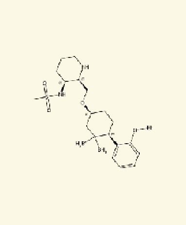 BC1(B)C[C@@H](OC[C@@H]2NCCC[C@@H]2NS(C)(=O)=O)CC[C@H]1c1ccccc1OCC